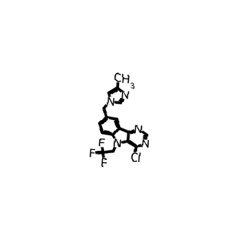 Cc1cn(Cc2ccc3c(c2)c2ncnc(Cl)c2n3CC(F)(F)F)cn1